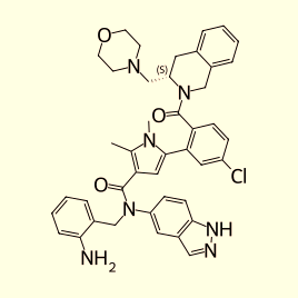 Cc1c(C(=O)N(Cc2ccccc2N)c2ccc3[nH]ncc3c2)cc(-c2cc(Cl)ccc2C(=O)N2Cc3ccccc3C[C@H]2CN2CCOCC2)n1C